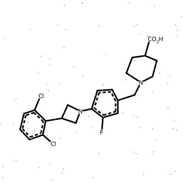 O=C(O)C1CCN(Cc2ccc(N3CC(c4c(Cl)cccc4Cl)C3)c(F)c2)CC1